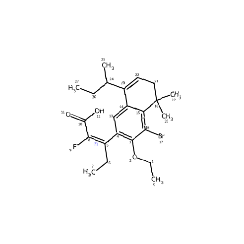 CCOc1c(/C(CC)=C(/F)C(=O)O)cc2c(c1Br)C(C)(C)CC=C2C(C)CC